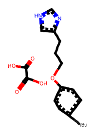 CCC(C)c1ccc(OCCCc2c[nH]cn2)cc1.O=C(O)C(=O)O